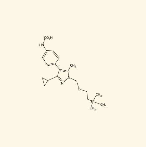 Cc1c(-c2ccc(NC(=O)O)cc2)c(C2CC2)nn1COCC[Si](C)(C)C